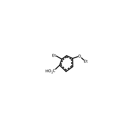 CCOc1ccc(C(=O)O)c(CC)c1